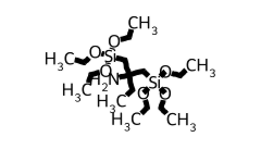 CCO[Si](CC(N)(CC)C[Si](OCC)(OCC)OCC)(OCC)OCC